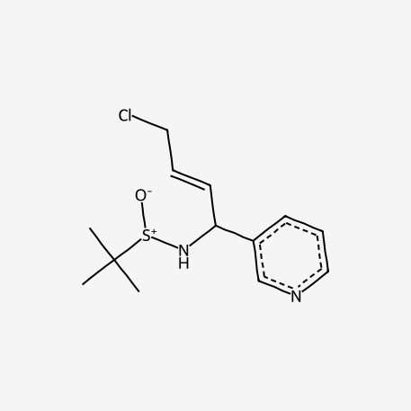 CC(C)(C)[S+]([O-])NC(C=CCCl)c1cccnc1